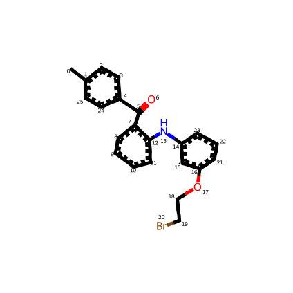 Cc1ccc(C(=O)c2ccccc2Nc2[c]c(OCCBr)ccc2)cc1